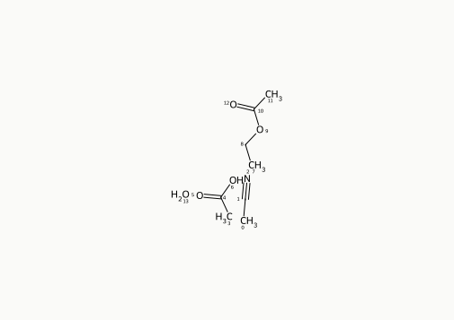 CC#N.CC(=O)O.CCOC(C)=O.O